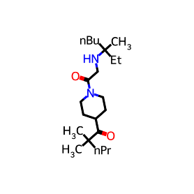 CCCCC(C)(CC)NCC(=O)N1CCC(C(=O)C(C)(C)CCC)CC1